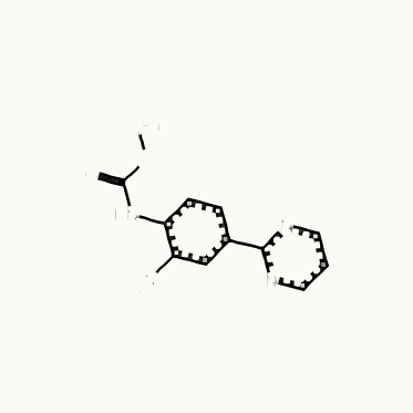 CC(C)(C)OC(=O)Nc1ccc(-c2ncccn2)cc1[N+](=O)[O-]